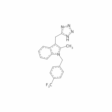 Cc1c(Cc2nnn[nH]2)c2ccccc2n1Cc1ccc(C(F)(F)F)cc1